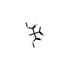 COC(=O)C(C)(C(C)=O)C(=O)OC